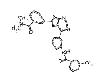 CN(C)C(=O)c1cccc(-c2cc3c(-c4cccc(NC(=O)c5cccc(C(F)(F)F)c5)c4)ncnc3s2)c1